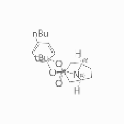 CCCCc1ccc(O[C@H]2C[C@H]3CC[C@@H](C2)N3C(=O)OC(C)(C)C)cc1